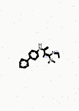 C=C(Nc1ccc(-c2ccccc2)cc1)/C(C)=C(\N=C/C)N(C)C